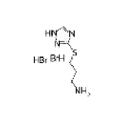 Br.Br.NCCCSc1nc[nH]n1